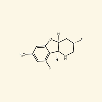 Fc1cc(C(F)(F)F)cc2c1[C@@H]1NC[C@@H](F)C[C@@H]1O2